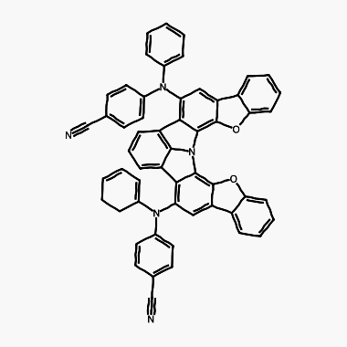 N#Cc1ccc(N(C2=CC=CCC2)c2cc3c4ccccc4oc3c3c2c2cccc4c5c(N(c6ccccc6)c6ccc(C#N)cc6)cc6c7ccccc7oc6c5n3c24)cc1